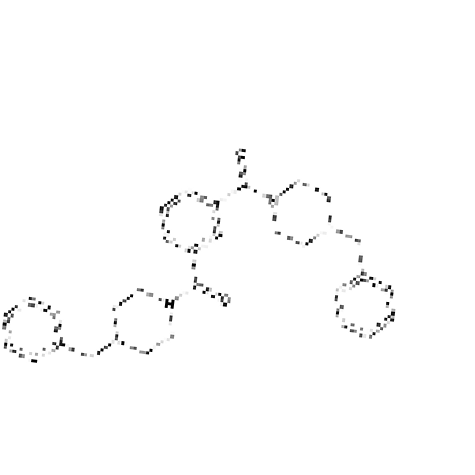 O=C(c1cccc(C(=O)N2CCC(Cc3ccccc3)CC2)c1)N1CCC(Cc2ccccc2)CC1